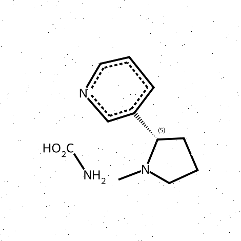 CN1CCC[C@H]1c1cccnc1.NC(=O)O